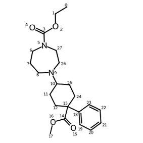 CCOC(=O)N1CCCN(C2CCC(C(=O)OC)(c3ccccc3)CC2)CC1